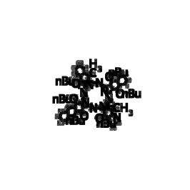 CCCCOc1c2c(c(OCCCC)c3ccccc13)-c1nc-2nc2[nH]c(nc3nc(nc4[nH]c(n1)c1c(C)c5ncccc5c(OCCCC)c41)-c1c-3c(OCCCC)c3cc4ccccc4cc3c1OCCCC)c1c(OCCCC)c3ccccc3c(C)c21